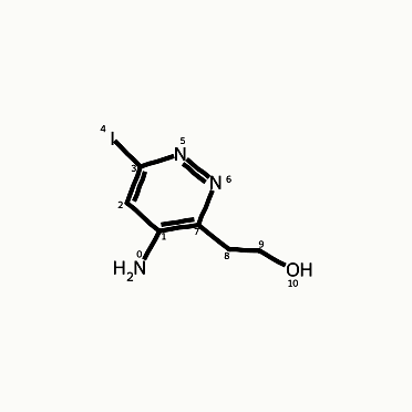 Nc1cc(I)nnc1CCO